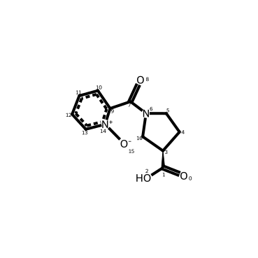 O=C(O)[C@@H]1CCN(C(=O)c2cccc[n+]2[O-])C1